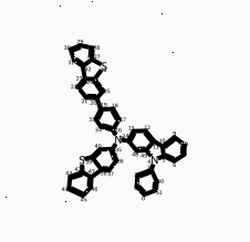 c1ccc(-n2c3ccccc3c3ccc(N(c4ccc(-c5ccc6c(c5)sc5ccccc56)cc4)c4ccc5c(c4)sc4ccccc45)cc32)cc1